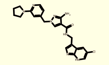 Nc1nn(Cc2ccnc(N3CCCC3)c2)cc1C(=O)NCc1cnc2[nH]cc(Cl)cc1-2